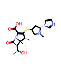 C[C@@H](O)[C@H]1C(=O)N2C(C(=O)O)=C(S[C@H]3C[C@H](n4ccnc4)N(C)C3)[C@H](C)[C@H]12